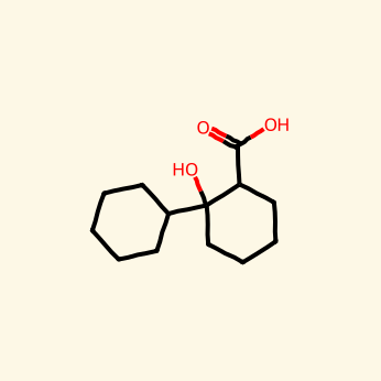 O=C(O)C1CCCCC1(O)C1CCCCC1